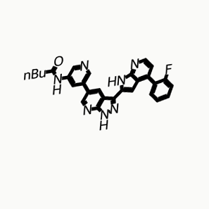 CCCCC(=O)Nc1cncc(-c2cnc3[nH]nc(-c4cc5c(-c6ccccc6F)ccnc5[nH]4)c3c2)c1